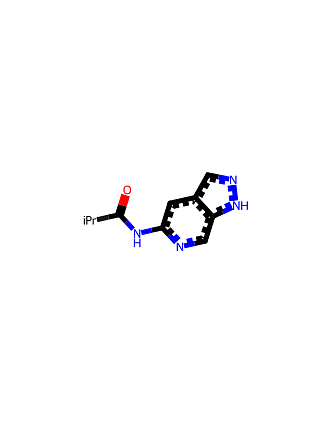 CC(C)C(=O)Nc1cc2cn[nH]c2cn1